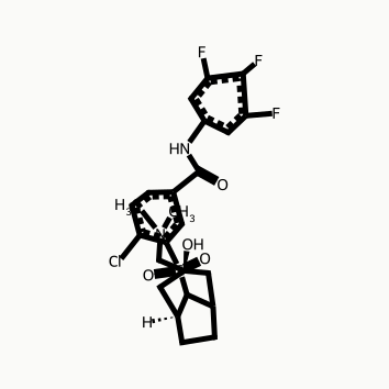 CN(C)C[C@]1(O)CC2CC[C@@H](C1)C2S(=O)(=O)c1cc(C(=O)Nc2cc(F)c(F)c(F)c2)ccc1Cl